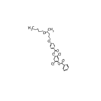 CCCCCOC(C)CCCOc1ccc(C(=O)Oc2cc(Cl)c(OC(=O)c3ccccc3)cc2Cl)cc1